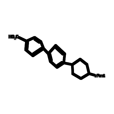 CCCCCC1CCC(c2ccc(-c3ccc(C(=O)O)cc3)cc2)CC1